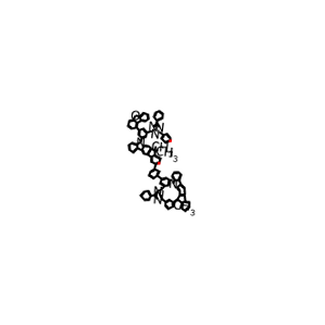 CC1(C)c2ccc(-c3cccc(-c4ccc5c(c4)-c4nc(-c6ccccc6)nc(n4)-c4cccc(c4)C4(C)c6ccccc6-c6cc7c8ccccc8n-5c7cc64)c3)cc2-c2cc3c4ccccc4n(-c4cc(-c5nc(-c6ccccc6)nc(-c6ccccc6)n5)cc(-c5cccc6oc7ccccc7c56)c4)c3cc21